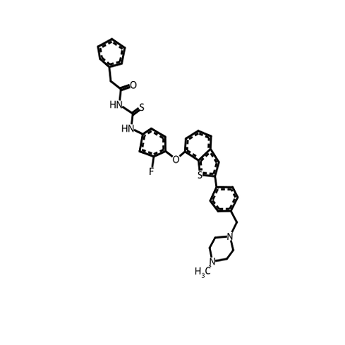 CN1CCN(Cc2ccc(-c3cc4cccc(Oc5ccc(NC(=S)NC(=O)Cc6ccccc6)cc5F)c4s3)cc2)CC1